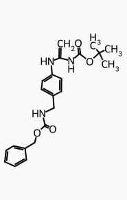 C=C(NC(=O)OC(C)(C)C)Nc1ccc(CNC(=O)OCc2ccccc2)cc1